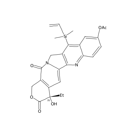 C=C[Si](C)(C)c1c2c(nc3ccc(OC(C)=O)cc13)-c1cc3c(c(=O)n1C2)COC(=O)[C@]3(O)CC